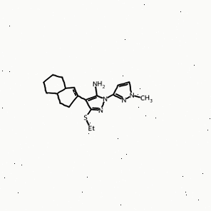 CCSc1nn(-c2ccn(C)n2)c(N)c1C1=CC2CCCCC2CC1